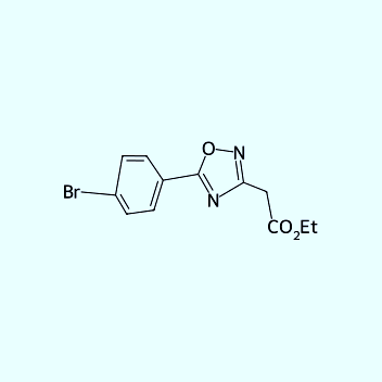 CCOC(=O)Cc1noc(-c2ccc(Br)cc2)n1